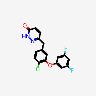 O=c1ccc(Cc2ccc(Cl)c(Oc3cc(F)cc(F)c3)c2)n[nH]1